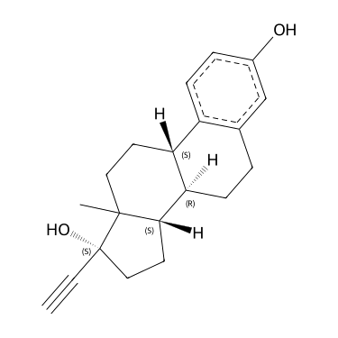 C#C[C@]1(O)CC[C@H]2[C@@H]3CCc4cc(O)ccc4[C@H]3CCC21C